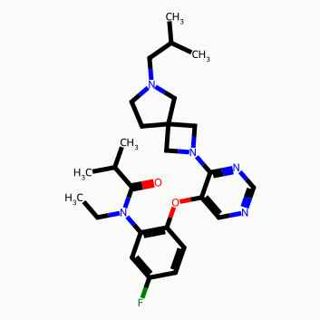 CCN(C(=O)C(C)C)c1cc(F)ccc1Oc1cncnc1N1CC2(CCN(CC(C)C)C2)C1